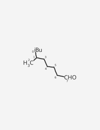 CCC(C)C(C)CCCCC=O